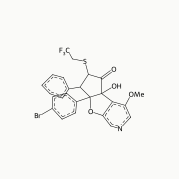 COc1cncc2c1C1(O)C(=O)C(SCC(F)(F)F)C(c3ccccc3)C1(c1ccc(Br)cc1)O2